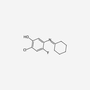 Oc1cc(N=C2CCCCC2)c(F)cc1Cl